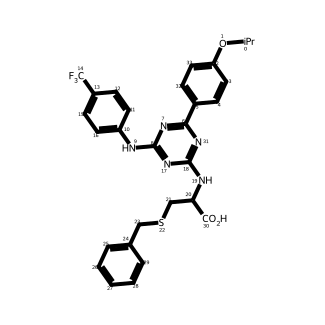 CC(C)Oc1ccc(-c2nc(Nc3ccc(C(F)(F)F)cc3)nc(NC(CSCc3ccccc3)C(=O)O)n2)cc1